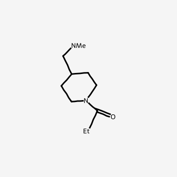 CCC(=O)N1CCC(CNC)CC1